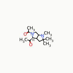 CC(=O)[C@@H]1C2CC(C)(C)N(C)C2CN1C(C)=O